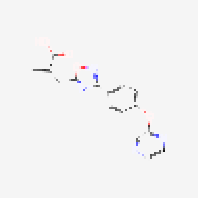 C=C(Cc1nc(-c2ccc(Oc3cnccn3)cc2)no1)C(=O)O